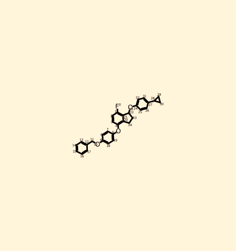 Fc1ccc(Oc2ccc(OCc3ccccc3)cc2)c2c1C(Oc1ccc(C3CC3)cc1)CC2